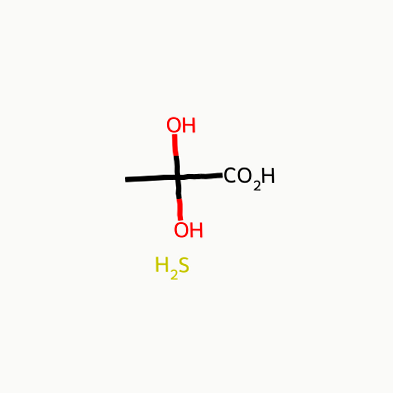 CC(O)(O)C(=O)O.S